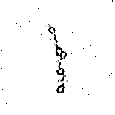 O=C(Nc1ccccc1)Nc1ccc(CCNc2ncnc3cc(OCCCN4CCC(O)CC4)ccc23)cc1